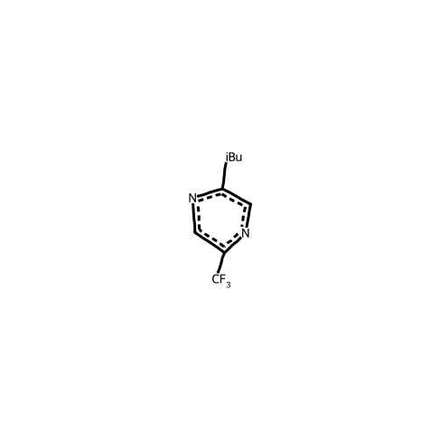 CCC(C)c1cnc(C(F)(F)F)cn1